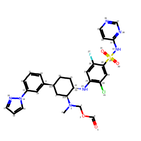 CN(COC=O)[C@H]1C[C@@H](c2cccc(-n3cccn3)c2)CC[C@@H]1Nc1cc(F)c(S(=O)(=O)Nc2ccncn2)cc1Cl